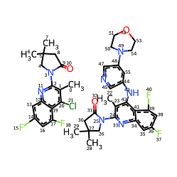 Cc1c(N2CC(C)(C)CC2=O)nc2cc(F)cc(F)c2c1Cl.Cc1c(N2CC(C)(C)CC2=O)nc2cc(F)cc(F)c2c1Nc1cncc(N2CCOCC2)c1